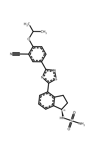 CC(C)Oc1ccc(-c2nsc(-c3cccc4c3CC[C@H]4NS(N)(=O)=O)n2)cc1C#N